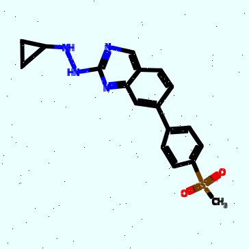 CS(=O)(=O)c1ccc(-c2ccc3cnc(NNC4CC4)nc3c2)cc1